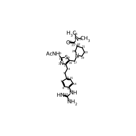 CC(=O)Nc1nc(CCc2ccc(NC(=N)N)cc2)c(CN2CCC[C@@H](C(=O)N(C)C)C2)s1